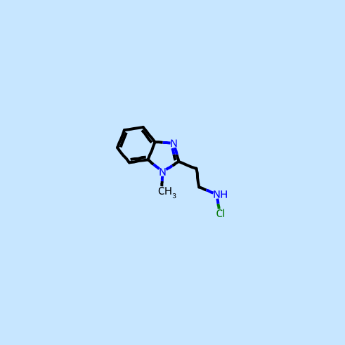 Cn1c(CCNCl)nc2ccccc21